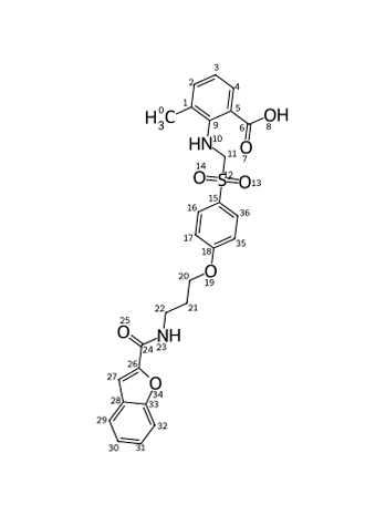 Cc1cccc(C(=O)O)c1NCS(=O)(=O)c1ccc(OCCCNC(=O)c2cc3ccccc3o2)cc1